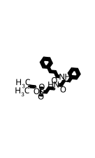 CC(C)COS(=O)(=O)CCCNC(=O)[C@H](Cc1ccccc1)NC(=O)CCc1ccccc1